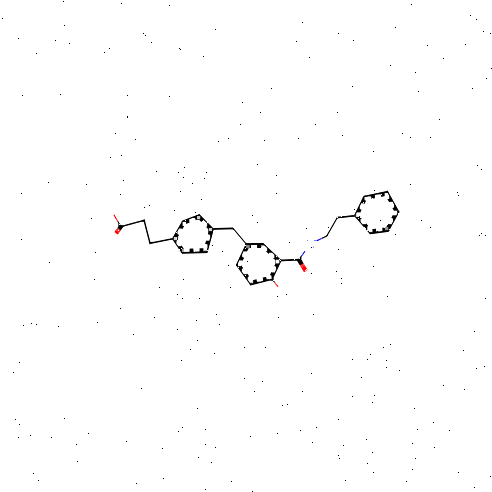 O=C(O)CCc1ccc(Cc2ccc(O)c(C(=O)NCCc3ccccc3)c2)cc1